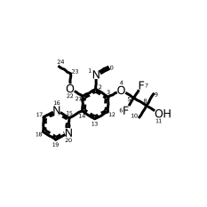 C=Nc1c(OC(F)(F)C(C)(C)O)ccc(-c2ncccn2)c1OCC